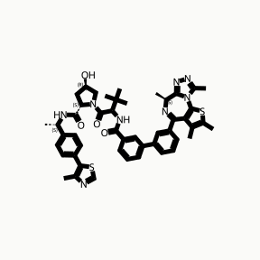 Cc1ncsc1-c1ccc([C@H](C)NC(=O)[C@@H]2C[C@@H](O)CN2C(=O)C(NC(=O)c2cccc(-c3cccc(C4=N[C@@H](C)c5nnc(C)n5-c5sc(C)c(C)c54)c3)c2)C(C)(C)C)cc1